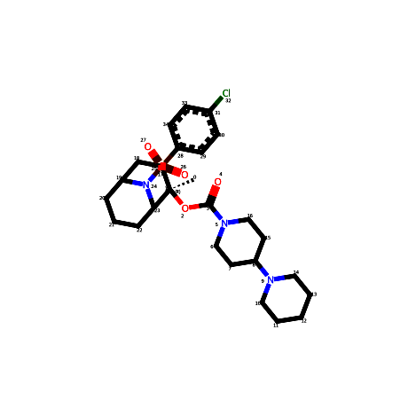 C[C@@]1(OC(=O)N2CCC(N3CCCCC3)CC2)CCC2CCCC1N2S(=O)(=O)c1ccc(Cl)cc1